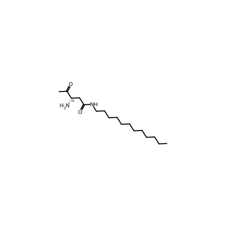 CCCCCCCCCCCCNC(=O)C[C@H](N)C(C)=O